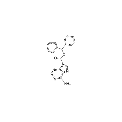 Nc1ncnc2c1ncn2C(=O)OC(c1ccccc1)c1ccccc1